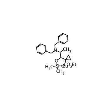 CCOC(=O)C1(C(O[Si](C)(C)C(C)(C)C)C(C)N(Cc2ccccc2)Cc2ccccc2)CC1